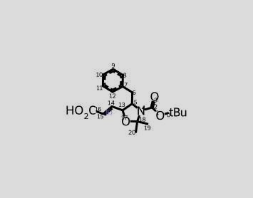 CC(C)(C)OC(=O)N1C(Cc2ccccc2)C(/C=C/C(=O)O)OC1(C)C